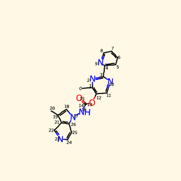 Cc1nc(-c2ccccn2)ncc1OC(=O)Nn1cc(C)c2cnccc21